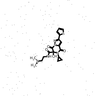 CN(C)CCNC(=O)C1(C)C(=O)n2nc(-c3cccs3)cc2C(=O)N1C1CC1